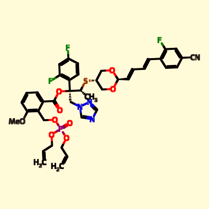 C=CCOP(=O)(OCC=C)OCc1c(OC)cccc1C(=O)O[C@@](Cn1cncn1)(c1ccc(F)cc1F)[C@@H](C)S[C@H]1CO[C@H](/C=C/C=C/c2ccc(C#N)cc2F)OC1